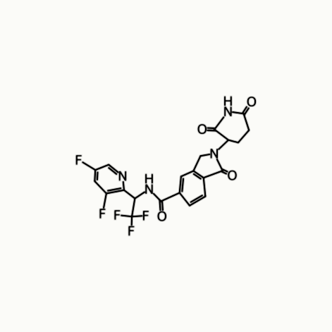 O=C1CCC(N2Cc3cc(C(=O)NC(c4ncc(F)cc4F)C(F)(F)F)ccc3C2=O)C(=O)N1